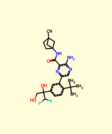 BC(B)(B)c1ccc(C(O)(CO)C(F)F)cc1-c1cnc(N)c(C(=O)NC23CCC(C#N)(C2)C3)n1